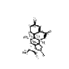 C[C@@H]1C[C@H]2[C@@H]3C=C(Cl)C4=CC(=O)CC[C@]4(C)[C@H]3[C@@H](O)C[C@]2(C)[C@H]1C(=O)CO